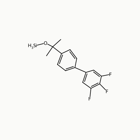 CC(C)(O[SiH3])c1ccc(-c2cc(F)c(F)c(F)c2)cc1